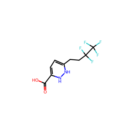 O=C(O)C1=CC=C(CCC(F)(F)C(F)(F)F)NN1